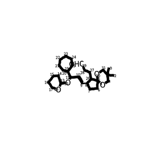 CC1(C)COC2(CC[C@@H](C=CC(OC3CCCCO3)C3CCCCCC3)C2CCC=O)OC1